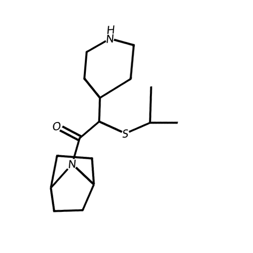 CC(C)SC(C(=O)N1C2CCC1CC2)C1CCNCC1